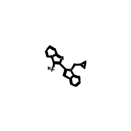 Cc1c(-c2cc3ccccc3n2CC2CC2)nc2c[c]ccn12